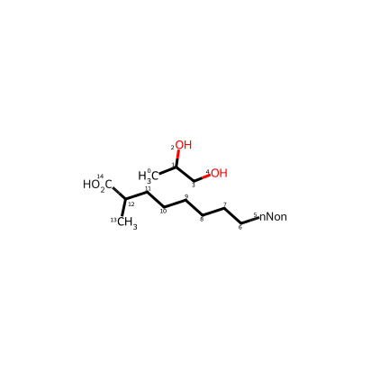 CC(O)CO.CCCCCCCCCCCCCCCC(C)C(=O)O